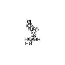 CC1(C)C=C(OC[C@@H](O)[C@H](O)CO)CC2=C1Cc1cc(Cl)ccc1C2